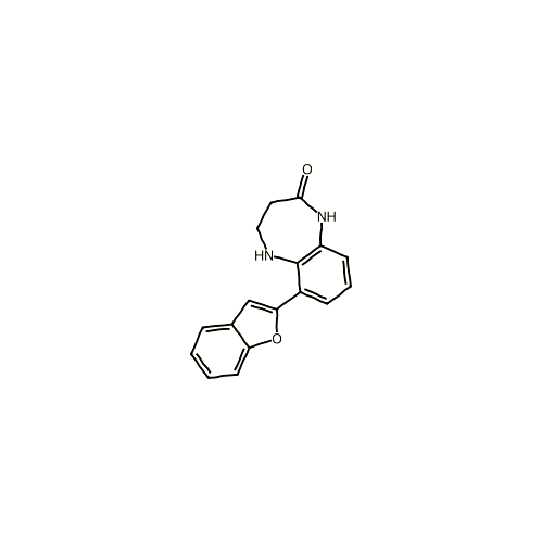 O=C1CCNc2c(cccc2-c2cc3ccccc3o2)N1